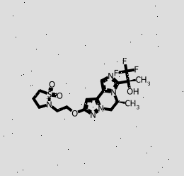 C[C@H]1Cn2nc(OCCN3CCCS3(=O)=O)cc2-c2cnc([C@@](C)(O)C(F)(F)F)n21